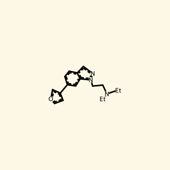 CCN(CC)CCn1ncc2ccc(-c3ccoc3)cc21